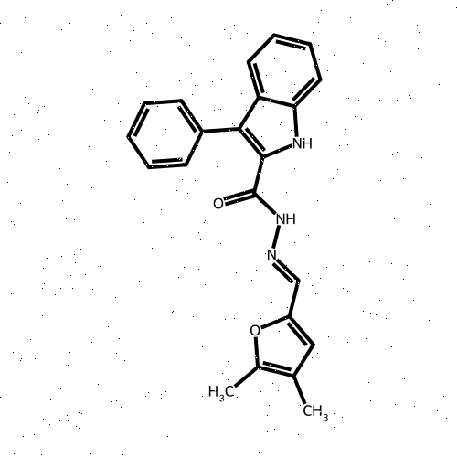 Cc1cc(C=NNC(=O)c2[nH]c3ccccc3c2-c2ccccc2)oc1C